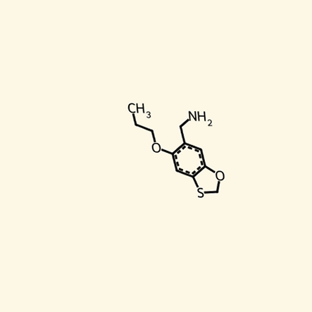 CCCOc1cc2c(cc1CN)OCS2